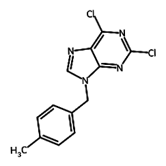 Cc1ccc(Cn2cnc3c(Cl)nc(Cl)nc32)cc1